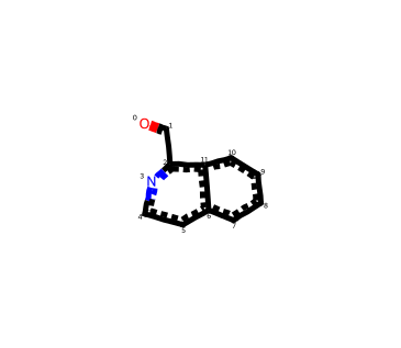 O=Cc1nccc2[c]cccc12